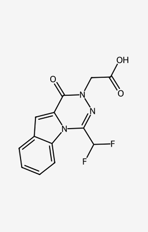 O=C(O)Cn1nc(C(F)F)n2c(cc3ccccc32)c1=O